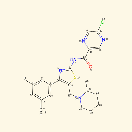 Cc1cc(-c2nc(NC(=O)c3cnc(Cl)cn3)sc2CN2CCCCC2C)cc(C(F)(F)F)c1